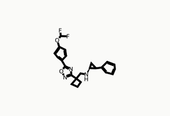 FC(F)Oc1ccc(-c2nc(C3(CN[C@H]4CC4c4ccccc4)CCC3)no2)cc1